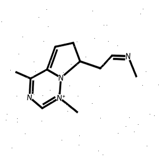 C/N=C\CC1CC=C2C(C)=NC=[N+](C)N21